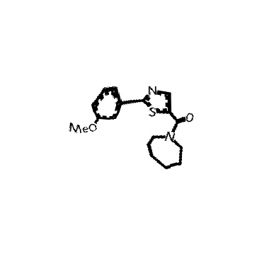 COc1cccc(-c2ncc(C(=O)N3CCCCC3)s2)c1